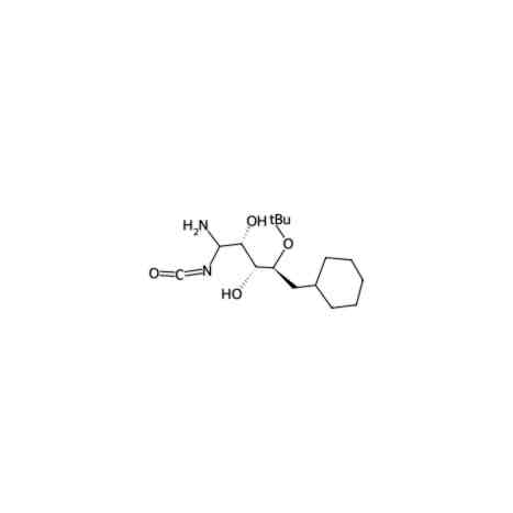 CC(C)(C)O[C@@H](CC1CCCCC1)[C@H](O)[C@@H](O)C(N)N=C=O